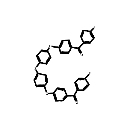 O=C(c1ccc(F)cc1)c1ccc(Oc2ccc(Sc3ccc(Oc4ccc(C(=O)c5ccc(F)cc5)cc4)cc3)cc2)cc1